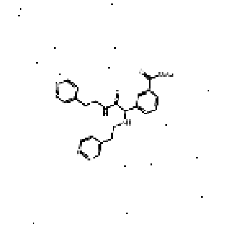 COC(=O)c1cccc(C(NCCc2ccncc2)C(=O)NCCc2ccncc2)c1